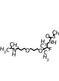 CSC(=O)NCC(F)C(C)(C)OCCCOCCCNC(C)C